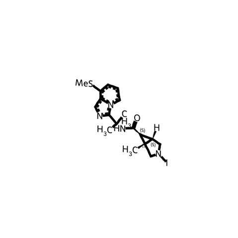 CSc1cccn2c(C(C)(C)NC(=O)[C@H]3[C@@H]4CN(I)C[C@@]43C)ncc12